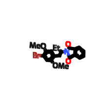 CCC(Cc1cc(OC)c(Br)cc1OC)N1C(=O)c2ccccc2C1=O